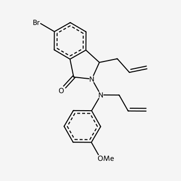 C=CCC1c2ccc(Br)cc2C(=O)N1N(CC=C)c1cccc(OC)c1